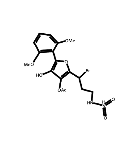 COc1cccc(OC)c1-c1oc(C(Br)CCN[SH](=O)=O)c(OC(C)=O)c1O